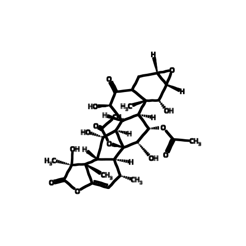 CC(=O)O[C@H]1[C@H]2[C@H]([C@@H]3[C@@H](O)[C@@H]4[C@H]([C@H](C)C=C5OC(=O)[C@@](C)(O)[C@@]54C)[C@@]3(OC(C)=O)[C@H]1O)[C@@H](O)C(=O)C1C[C@@H]3O[C@@H]3[C@H](O)[C@@]12C